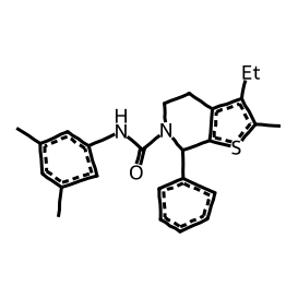 CCc1c(C)sc2c1CCN(C(=O)Nc1cc(C)cc(C)c1)C2c1ccccc1